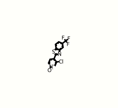 [O-][n+]1ccc(-c2nc3cc(C(F)(F)F)ccc3s2)c(Cl)c1